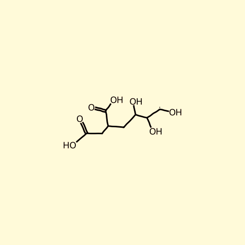 O=C(O)CC(CC(O)C(O)[CH]O)C(=O)O